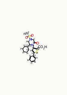 CCCS(=O)(=O)N1CC(=O)N(c2cc(-c3ccccc3)sc2C(=O)O)C(C2CCCCC2)C1